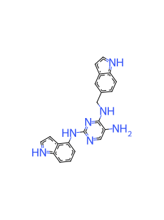 Nc1cnc(Nc2cccc3[nH]ccc23)nc1NCc1ccc2[nH]ccc2c1